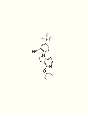 CCC(CC)Oc1nc(C)nc2c1CCN2c1ccc(C(F)(F)F)cc1C#N